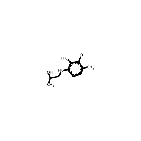 Cc1ccc(NCC(C)O)c(C)c1O